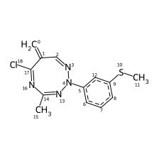 C=C1/C=N\N(c2cccc(SC)c2)/N=C(C)\N=C/1Cl